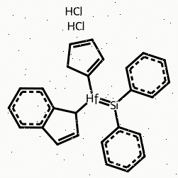 C1=CC[C]([Hf]([CH]2C=Cc3ccccc32)=[Si](c2ccccc2)c2ccccc2)=C1.Cl.Cl